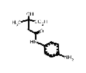 CC(O)(CC(=O)Nc1ccc(N)cc1)C(=O)O